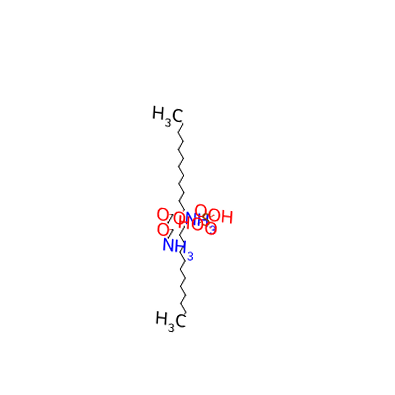 C1CO1.C1CO1.CCCCCCCCCCCCOCCCCCCCCCCCC.N.N.O=S(=O)(O)O